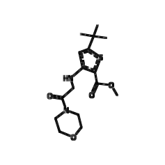 COC(=O)c1sc(C(C)(C)C)cc1NCC(=O)N1CCOCC1